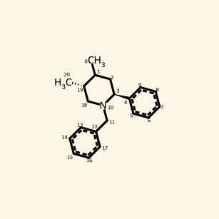 CC1C[C@@H](c2ccccc2)N(Cc2ccccc2)C[C@@H]1C